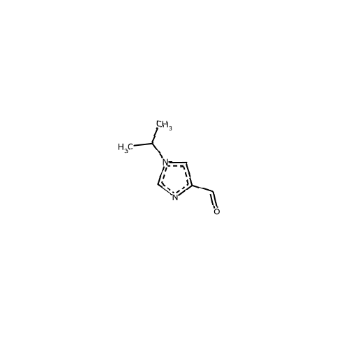 CC(C)n1cnc(C=O)c1